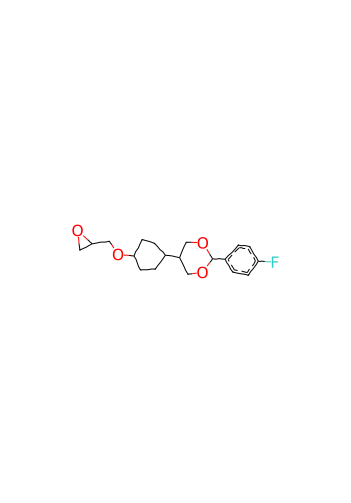 Fc1ccc(C2OCC(C3CCC(OCC4CO4)CC3)CO2)cc1